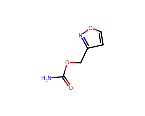 NC(=O)OCc1ccon1